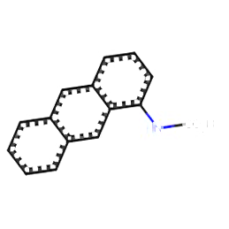 O=C(O)Nc1cccc2cc3ccccc3cc12